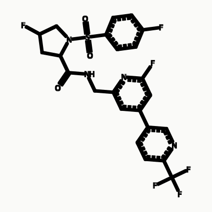 O=C(NCc1cc(-c2ccc(C(F)(F)F)nc2)cc(F)n1)C1CC(F)CN1S(=O)(=O)c1ccc(F)cc1